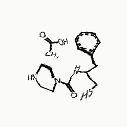 CC(=O)O.O=C(NC(CS)Cc1ccccc1)N1CCNCC1